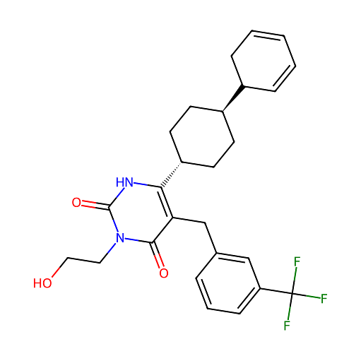 O=c1[nH]c([C@H]2CC[C@H](C3C=CC=CC3)CC2)c(Cc2cccc(C(F)(F)F)c2)c(=O)n1CCO